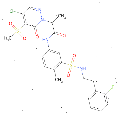 Cc1ccc(NC(=O)C(C)n2ncc(Cl)c(S(C)(=O)=O)c2=O)cc1S(=O)(=O)NCCc1ccccc1F